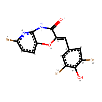 O=C1Nc2nc(Br)ccc2O/C1=C\c1cc(Br)c(O)c(Br)c1